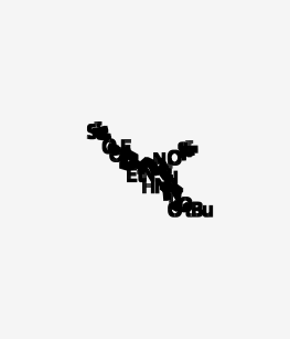 CCc1cc(OCOCC[Si](C)(C)C)c(F)cc1-c1cnc2c(-c3nc4c([nH]3)CN(C(=O)OC(C)(C)C)C4)n(COCC[Si](C)(C)C)nc2c1